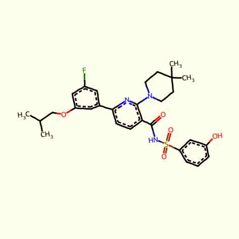 CC(C)COc1cc(F)cc(-c2ccc(C(=O)NS(=O)(=O)c3cccc(O)c3)c(N3CCC(C)(C)CC3)n2)c1